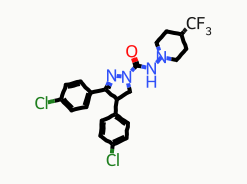 O=C(NN1CCC(C(F)(F)F)CC1)N1CC(c2ccc(Cl)cc2)C(c2ccc(Cl)cc2)=N1